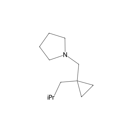 CC(C)CC1(CN2CCCC2)CC1